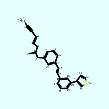 CC(CC=CC#CC(C)(C)C)Cc1cccc(C=Cc2cccc(-c3ccsc3)c2)c1